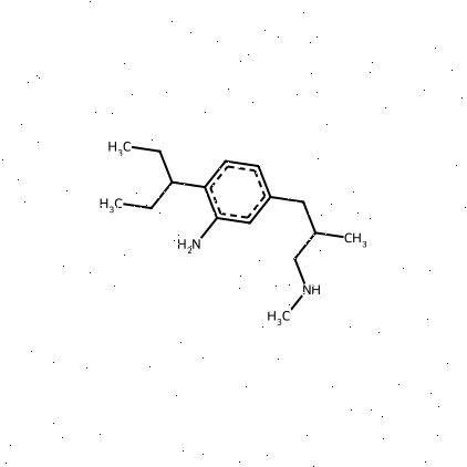 CCC(CC)c1ccc(CC(C)CNC)cc1N